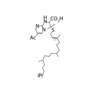 CC(=O)c1cnc(NC(C(=O)O)C(C)(C)SC/C=C(\C)CCCC(C)CCCC(C)CCCC(C)C)nc1